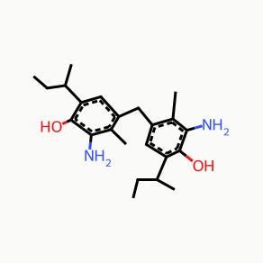 CCC(C)c1cc(Cc2cc(C(C)CC)c(O)c(N)c2C)c(C)c(N)c1O